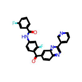 O=C(Nc1ccc(C(=O)c2ccc3ncc(-c4cccnc4)nc3c2)c(F)c1)c1cccc(F)c1